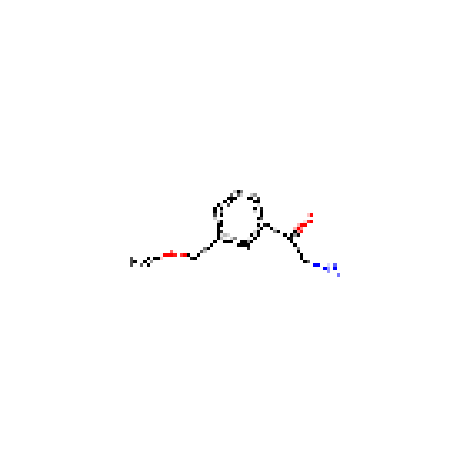 COCc1cccc(C(=O)CN)c1